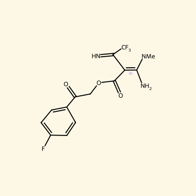 CN/C(N)=C(\C(=N)C(F)(F)F)C(=O)OCC(=O)c1ccc(F)cc1